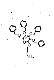 NCCCO[C@H]1O[C@H](COCc2ccccc2)[C@@H](OCc2ccccc2)[C@H](OCc2ccccc2)[C@@H]1OCc1ccccc1